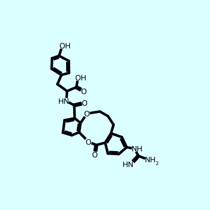 N=C(N)Nc1ccc2c(c1)CCCOc1c(cccc1C(=O)NC(Cc1ccc(O)cc1)C(=O)O)OC2=O